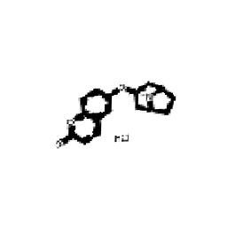 CN1C2CCC1CC(Oc1ccc3oc(=O)ccc3c1)C2.Cl